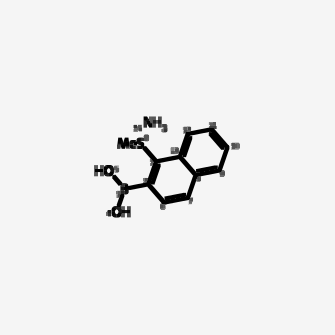 CSc1c(B(O)O)ccc2ccccc12.N